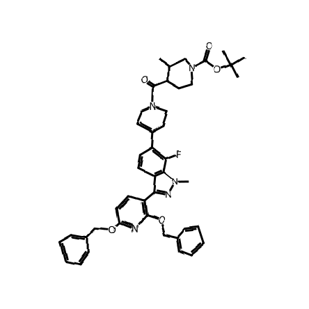 CC1CN(C(=O)OC(C)(C)C)CCC1C(=O)N1CC=C(c2ccc3c(-c4ccc(OCc5ccccc5)nc4OCc4ccccc4)nn(C)c3c2F)CC1